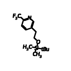 CC(C)(C)[Si](C)(C)OCCc1ccc(C(F)(F)F)nc1